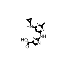 Cc1nc(Nc2ncc(C(=O)O)s2)cc(NC2CC2)n1